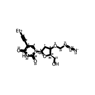 CCC#Cc1cn([C@H]2CC(OCN=[N+]=[N-])[C@@H](CO)O2)c(=O)[nH]c1=O